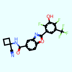 N#CC1(NC(=O)c2ccc3oc(-c4cc(C(F)(F)F)c(F)c(O)c4F)nc3c2)CCC1